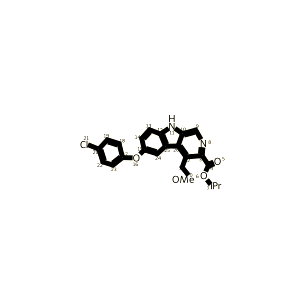 COCc1c(C(=O)OC(C)C)ncc2[nH]c3ccc(Oc4ccc(Cl)cc4)cc3c12